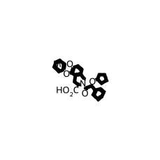 COc1ccc2c(c1Oc1ccccc1)C[C@H](C(=O)O)N(C(=O)[C@H](OC1CCCC1)c1ccccc1)C2